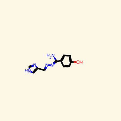 N/C(=N\N=C\c1c[nH]cn1)c1ccc(O)cc1